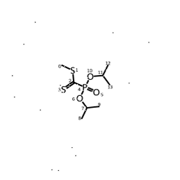 CSC(=S)P(=O)(OC(C)C)OC(C)C